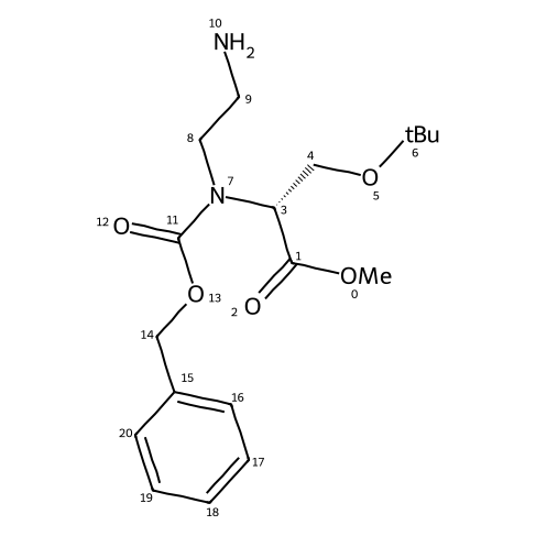 COC(=O)[C@@H](COC(C)(C)C)N(CCN)C(=O)OCc1ccccc1